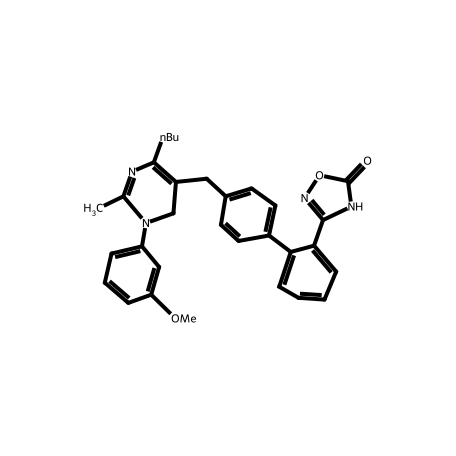 CCCCC1=C(Cc2ccc(-c3ccccc3-c3noc(=O)[nH]3)cc2)CN(c2cccc(OC)c2)C(C)=N1